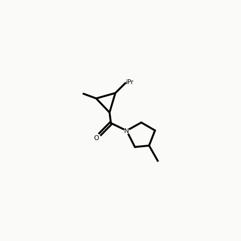 CC1CCN(C(=O)C2C(C)C2C(C)C)C1